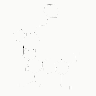 COc1ccc(Cn2c([S+](C)[O-])nc3sc([C@H]4CCCN4C(=O)OCc4ccccc4)nc3c2=O)c(OC)c1